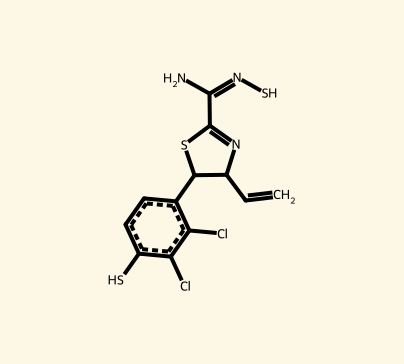 C=CC1N=C(/C(N)=N\S)SC1c1ccc(S)c(Cl)c1Cl